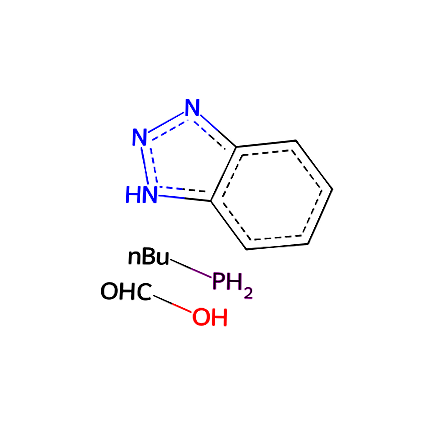 CCCCP.O=CO.c1ccc2[nH]nnc2c1